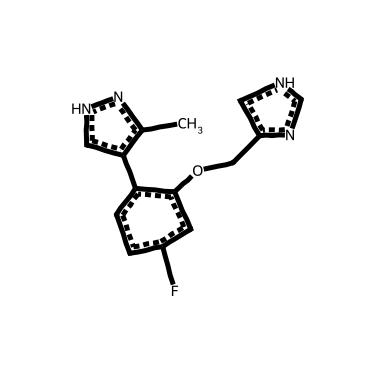 Cc1n[nH]cc1-c1ccc(F)cc1OCc1c[nH]cn1